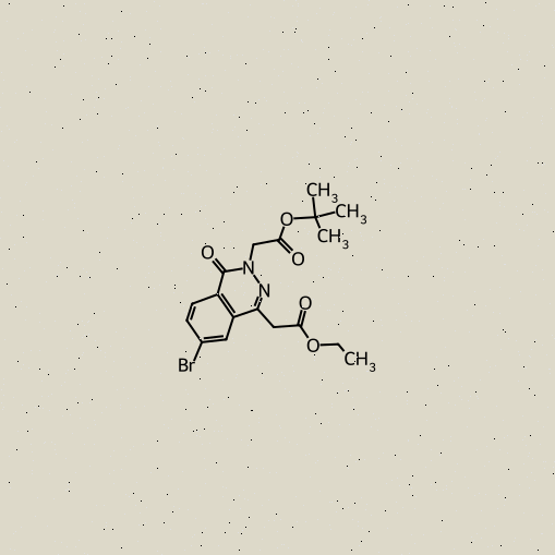 CCOC(=O)Cc1nn(CC(=O)OC(C)(C)C)c(=O)c2ccc(Br)cc12